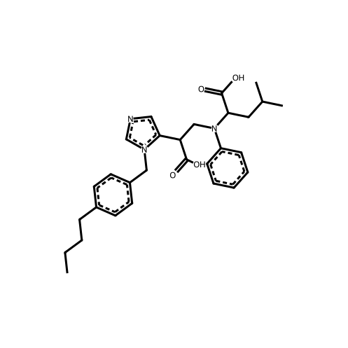 CCCCc1ccc(Cn2cncc2C(CN(c2ccccc2)C(CC(C)C)C(=O)O)C(=O)O)cc1